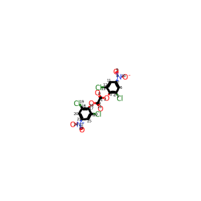 O=C(Oc1c(Cl)cc([N+](=O)[O-])cc1Cl)C(=O)Oc1c(Cl)cc([N+](=O)[O-])cc1Cl